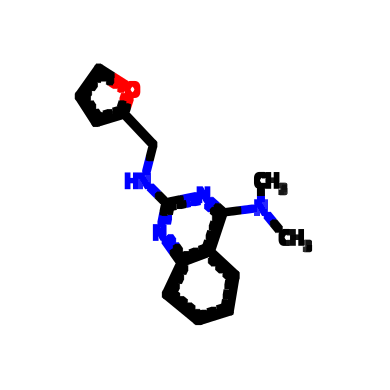 CN(C)c1nc(NCc2ccco2)nc2ccccc12